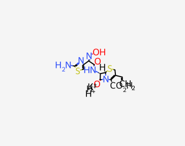 C=CC1=C(C(=O)O)N2C(=O)[C@@H](NC(=O)/C(=N\O)c3csc(N)n3)[C@H]2SC1.[H+].[H+].[K+]